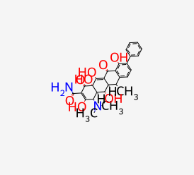 CC1c2ccc(-c3ccccc3)c(O)c2C(=O)C2=C(O)[C@]3(O)C(=O)C(C(N)=O)=C(O)[C@@H](N(C)C)[C@@H]3[C@@H](O)[C@@H]21